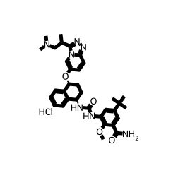 COc1c(NC(=O)N[C@H]2CC[C@@H](Oc3ccc4nnc(C(C)CN(C)C)n4c3)c3ccccc32)cc(C(C)(C)C)cc1C(N)=O.Cl